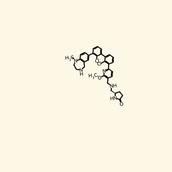 COc1nc(-c2cccc(-c3cccc(-c4ccc5c(c4)CNCCN5C)c3Cl)c2Cl)ccc1CNC[C@H]1CCC(=O)N1